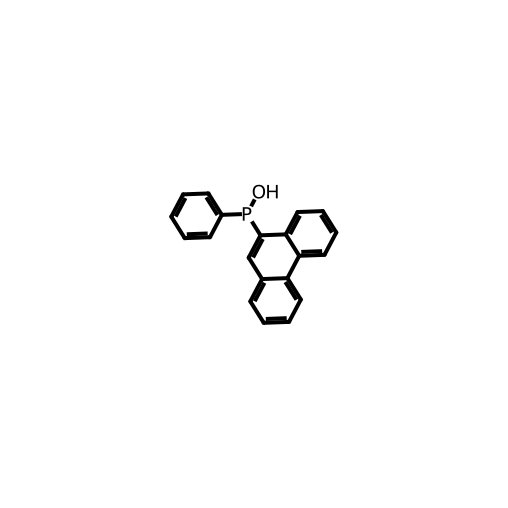 OP(c1ccccc1)c1cc2ccccc2c2ccccc12